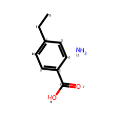 CCc1ccc(C(=O)O)cc1.N